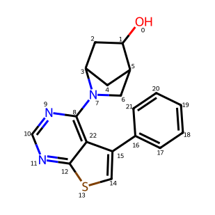 OC1CC2CC1CN2c1ncnc2scc(-c3ccccc3)c12